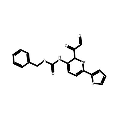 O=CC(=O)C1NC(c2cccs2)=CC=C1NC(=O)OCc1ccccc1